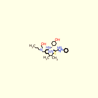 CCCCN(CCO)Cc1cc(NC[C@H]2CC[C@H](O)CC2)nc(C(C)C(C)c2ncc(-c3nnn(-c4ccccc4)n3)s2)c1